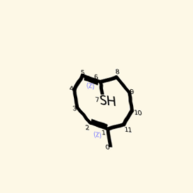 C/C1=C/CC/C=C(\S)CCCC1